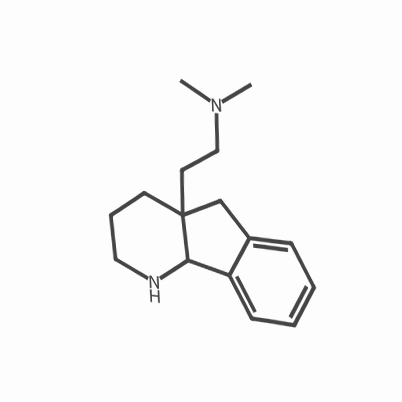 CN(C)CCC12CCCNC1c1ccccc1C2